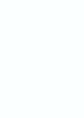 [C-]#[N+]c1cc(-c2ccc(C(C)(C)C)s2)ccc1F